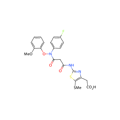 COc1ccccc1ON(C(=O)CC(=O)Nc1nc(CC(=O)O)c(SC)s1)c1ccc(F)cc1